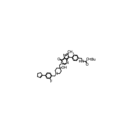 Cn1nc2c(=O)n(CC3(O)CCN(Cc4ccc(C5=CCCC5)cc4F)CC3)cnc2c1-c1ccc(CNC(=O)OC(C)(C)C)cc1